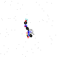 CCc1ccccc1N1C(=O)CS/C1=N\C(=O)N/C=C(\C)c1ccc(-c2ncn(-c3ccc(OC(F)(F)F)cc3)n2)cc1